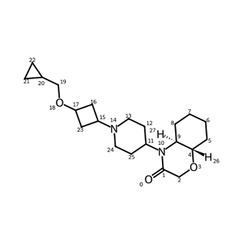 O=C1CO[C@H]2CCCC[C@@H]2N1C1CCN(C2CC(OCC3CC3)C2)CC1